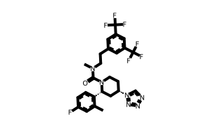 Cc1cc(F)ccc1[C@H]1C[C@@H](n2cnnn2)CCN1C(=O)N(C)CCc1cc(C(F)(F)F)cc(C(F)(F)F)c1